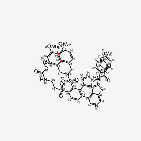 COc1ccc(CN(Cc2ccc(OC)cc2)S(=O)(=O)c2c(S(=O)(=O)CCNC(=O)OC(C)(C)C)ccc(-c3cncc4sc(NC(=O)c5ccccc5)nc34)c2-c2nnn(Cc3ccc(OC)cc3)n2)cc1